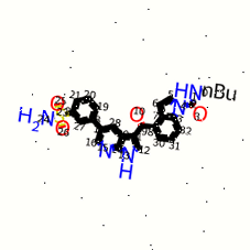 CCCCNC(=O)n1ccc2c(C(=O)c3c[nH]c4ncc(-c5cccc(S(N)(=O)=O)c5)cc34)cccc21